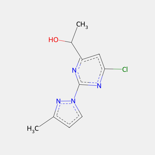 Cc1ccn(-c2nc(Cl)cc(C(C)O)n2)n1